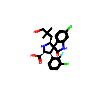 CC(C)(CO)C[C@@H]1N[C@@H](C(=O)O)[C@@H](c2cccc(Cl)c2F)C12C(=O)Nc1cc(Cl)ccc12